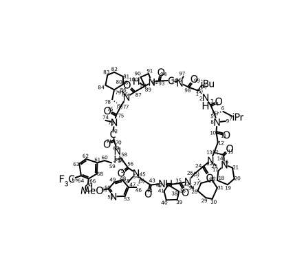 CC[C@H](C)[C@@H]1NC(=O)[C@H](CC(C)C)N(C)C(=O)C[C@@H](C(=O)N2CCCCC2)N(C)C(=O)[C@H](C2CCCCC2)N(C)C(=O)C2(CCCC2)NC(=O)[C@H](Cc2ccc(OC)nc2)N(C)C(=O)[C@H](CCc2ccc(C(F)(F)F)c(Cl)c2)NC(=O)CN(C)C(=O)[C@H](CC2CCCCC2)N(C)C(=O)[C@@H]2CCN2C(=O)CN(C)C1=O